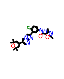 Cc1nc(C)c(C(=O)Nc2ccc(F)c(-c3cn4cc(C5=CC(C)(C)OC(C)(C)C5)cnc4n3)c2)o1